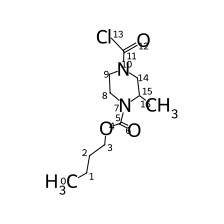 CCCCOC(=O)N1CCN(C(=O)Cl)CC1C